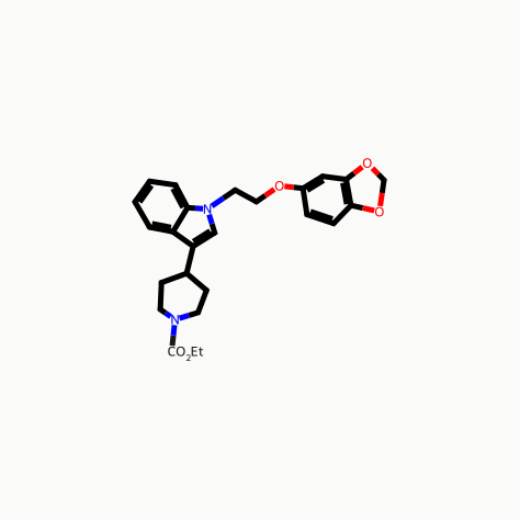 CCOC(=O)N1CCC(c2cn(CCOc3ccc4c(c3)OCO4)c3ccccc23)CC1